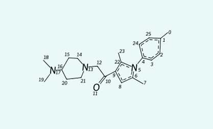 Cc1ccc(-n2c(C)cc(C(=O)CN3CCC(N(C)C)CC3)c2C)cc1